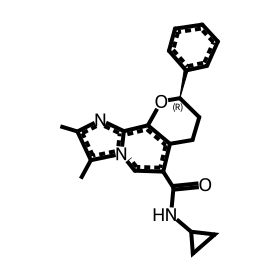 Cc1nc2c3c(c(C(=O)NC4CC4)cn2c1C)CC[C@H](c1ccccc1)O3